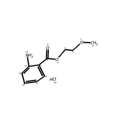 COCCOC(=O)c1ccccc1N.Cl